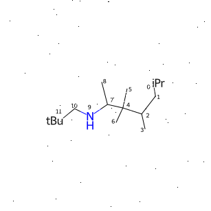 CC(C)CC(C)C(C)(C)C(C)NCC(C)(C)C